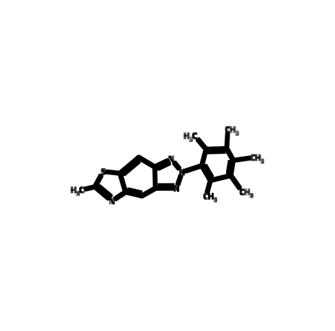 Cc1nc2cc3nn(-c4c(C)c(C)c(C)c(C)c4C)nc3cc2s1